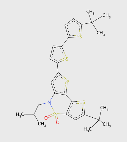 CC(C)CN1c2cc(-c3ccc(-c4ccc(C(C)(C)C)s4)s3)sc2-c2sc(C(C)(C)C)cc2S1(=O)=O